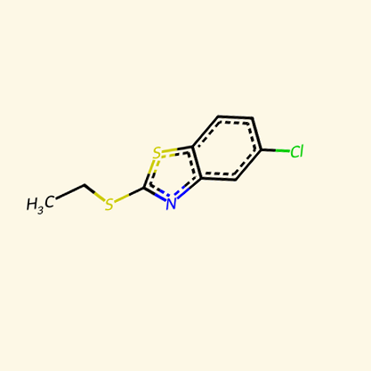 CCSc1nc2cc(Cl)ccc2s1